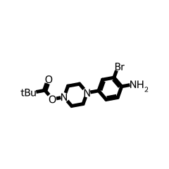 CC(C)(C)C(=O)ON1CCN(c2ccc(N)c(Br)c2)CC1